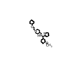 COc1cccc(C(NCC2CCN(CCOc3ccccc3)CC2)c2ccccn2)c1